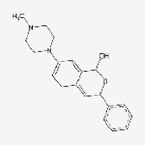 CN1CCN(C2=CCC3=CC(c4ccccc4)OC(O)C3=C2)CC1